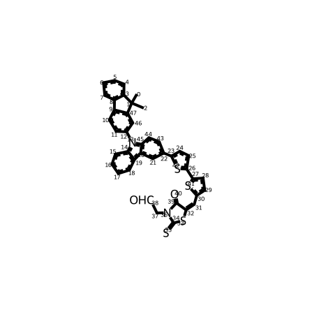 CC1(C)c2ccccc2-c2ccc(-n3c4ccccc4c4cc(-c5ccc(-c6ccc(C=C7SC(=S)N(CC=O)C7=O)s6)s5)ccc43)cc21